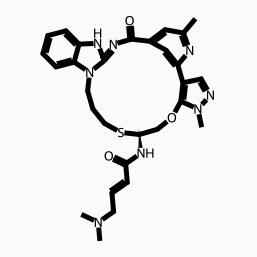 Cc1cc2cc(n1)-c1cnn(C)c1OC[C@@H](NC(=O)/C=C/CN(C)C)SCCCN1/C(=N/C2=O)Nc2ccccc21